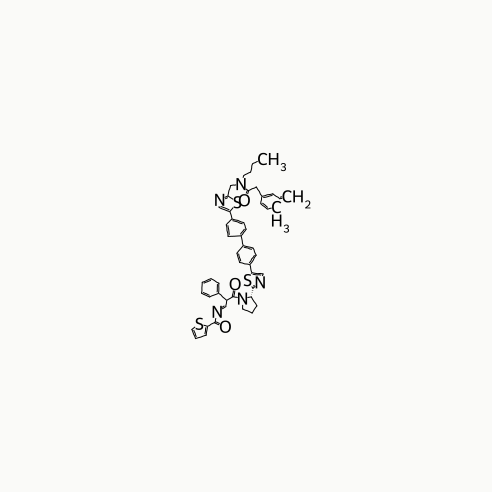 C=C/C=C(\C=C/C)CC(=O)N(CCCC)Cc1ncc(-c2ccc(-c3ccc(-c4cnc([C@@H]5CCCN5C(=O)C(/C=N/C(=O)c5cccs5)c5ccccc5)s4)cc3)cc2)s1